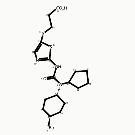 CC(C)(C)[C@H]1CC[C@H](N(C(=O)Nc2ncc(SCCC(=O)O)s2)C2CCCC2)CC1